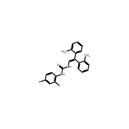 Cc1ccccc1C(=CNC(=O)Nc1ccc(F)cc1F)c1ccccc1C